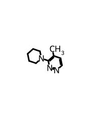 Cc1ccnnc1N1CCCCC1